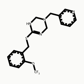 FC(F)(F)Oc1ccccc1CSC1=NCN(Cc2cccnc2)CN1